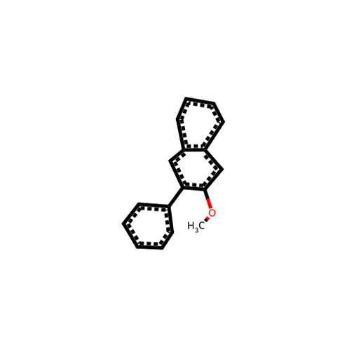 COc1cc2ccccc2cc1-c1ccccc1